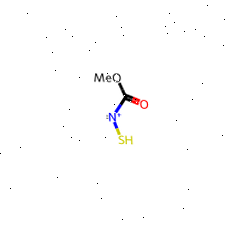 COC(=O)[N+]S